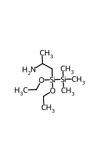 CCO[Si](CC(C)N)(OCC)[Si](C)(C)C